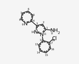 Nc1cc(-c2ccccn2)nn1-c1ccccc1Cl